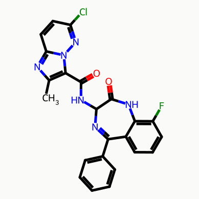 Cc1nc2ccc(Cl)nn2c1C(=O)NC1N=C(c2ccccc2)c2cccc(F)c2NC1=O